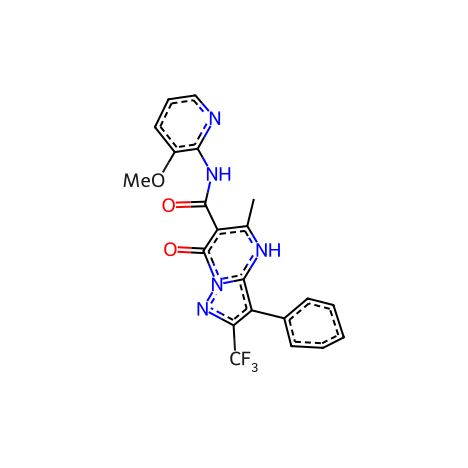 COc1cccnc1NC(=O)c1c(C)[nH]c2c(-c3ccccc3)c(C(F)(F)F)nn2c1=O